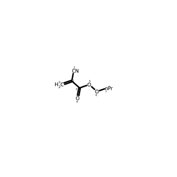 C=C(C#N)C(=O)OOCCC